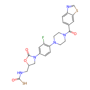 O=C(S)NCC1CN(c2ccc(N3CCN(C(=O)c4ccc5ncsc5c4)CC3)c(F)c2)C(=O)O1